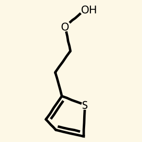 OOCCc1cccs1